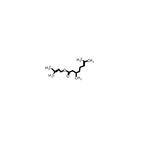 CC(C)=CCCC(C)CC(=O)OCC=C(C)C